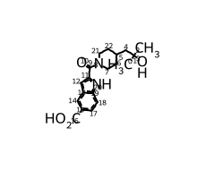 CC(C)(O)CC1CCN(C(=O)c2cc3cc(C(=O)O)ccc3[nH]2)CC1